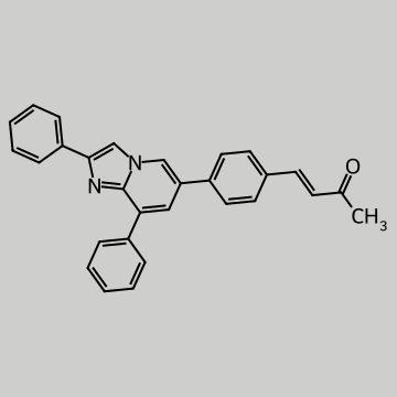 CC(=O)C=Cc1ccc(-c2cc(-c3ccccc3)c3nc(-c4ccccc4)cn3c2)cc1